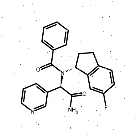 NC(=O)[C@@H](c1cccnc1)N(C(=O)c1ccccc1)[C@@H]1CCc2ccc(F)cc21